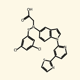 O=C(O)CN(Sc1cc(Cl)cc(Cl)c1)c1ccc2c(ccn2-c2cc(-c3nccs3)ccn2)c1